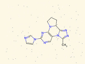 Cc1nnc2n1-c1cnc(-n3ccnc3)nc1N1CCCC21